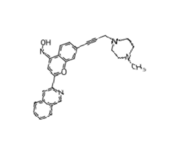 CN1CCN(CC#Cc2ccc3/c(=N\O)cc(-c4cc5ccccc5cn4)oc3c2)CC1